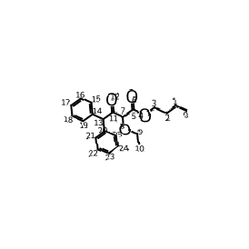 CCCCOC(=O)C(OCC)C(=O)C(c1ccccc1)c1ccccc1